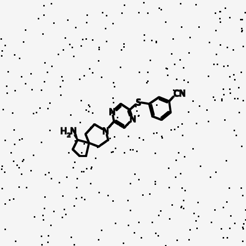 N#Cc1cccc(Sc2cnc(N3CCC4(CCC[C@H]4N)CC3)cn2)c1